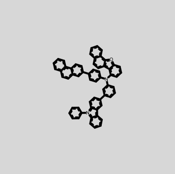 c1ccc(-n2c3ccccc3c3cc(-c4cccc(N(c5ccc(-c6ccc7c(ccc8ccccc87)c6)cc5)c5cccc6oc7c8ccccc8ccc7c56)c4)ccc32)cc1